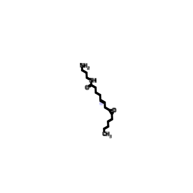 CCCCCC1OC1C/C=C/CCCC(=O)NCCCN